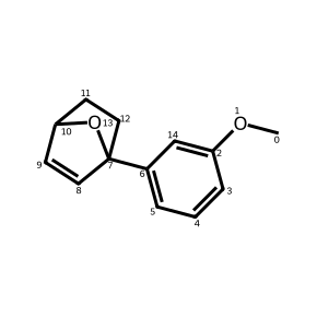 COc1cccc(C23C=CC(CC2)O3)c1